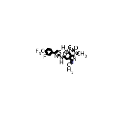 C/C=C1/N=c2c(c(=O)n(C)c(=O)n2C)=C1CC(=O)Nc1nc(-c2ccc(C(F)(F)F)c(F)c2)cs1